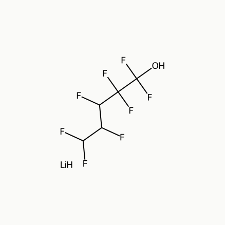 OC(F)(F)C(F)(F)C(F)C(F)C(F)F.[LiH]